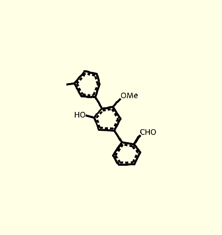 COc1cc(-c2ccccc2C=O)cc(O)c1-c1cccc(C)c1